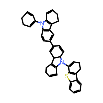 C1=CC(n2c3c(c4cc(C5=CC6C7=C(C=CCC7)N(C7=CCCc8c7sc7ccccc87)C6C=C5)ccc42)CCC=C3)=CCC1